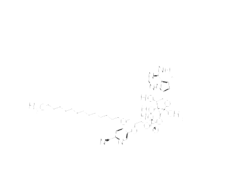 CCCCCCCCCCCCCCOC[C@H](COP(=O)(O)OC1[C@@]2(C)O[C@@H](c3ccc4c(N)ncnn34)[C@H](O)[C@@]12O)Oc1ccc(C#N)nc1